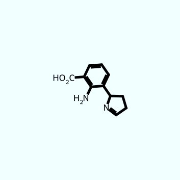 Nc1c(C(=O)O)cccc1C1CCC=N1